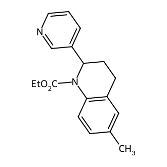 CCOC(=O)N1c2ccc(C)cc2CCC1c1cccnc1